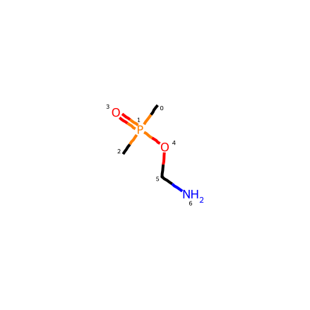 CP(C)(=O)OCN